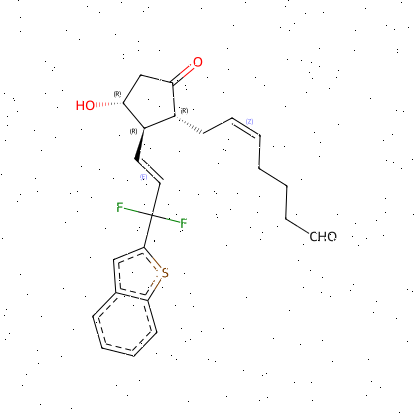 O=CCCC/C=C\C[C@H]1C(=O)C[C@@H](O)[C@@H]1/C=C/C(F)(F)c1cc2ccccc2s1